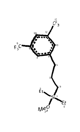 CC[Si](CC)(CCCc1cc(C(F)(F)F)cc(C(F)(F)F)c1)OC